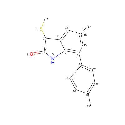 CSC1C(=O)Nc2c(-c3ccc(C)cc3)cc(C)cc21